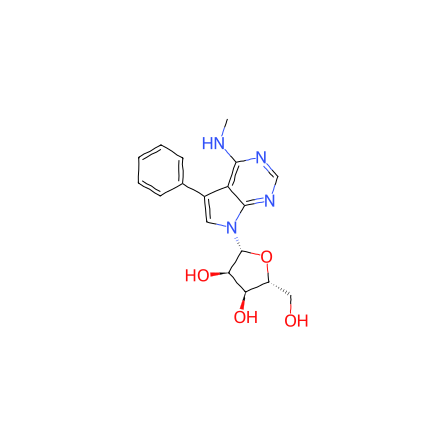 CNc1ncnc2c1c(-c1ccccc1)cn2[C@@H]1O[C@H](CO)[C@@H](O)[C@H]1O